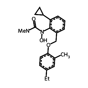 CCc1ccc(OCc2cccc(C3CC3)c2N(O)C(=O)NC)c(C)c1